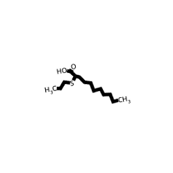 CCCCCCCCCC(SCCC)C(=O)O